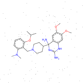 COc1cc2c(cc1OC)C(N)(C1CCN(Cc3c(OC(C)C)cccc3N(C)C)CC1)N=C(N)N2